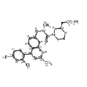 CCOC(=O)C[C@H]1CCCN(C(=O)[C@@H](C)Oc2ccc3c(-c4ccc(F)cc4Cl)cc(C)nc3c2)C1